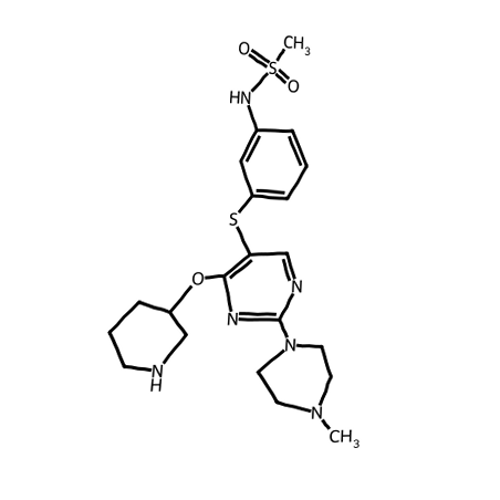 CN1CCN(c2ncc(Sc3cccc(NS(C)(=O)=O)c3)c(OC3CCCNC3)n2)CC1